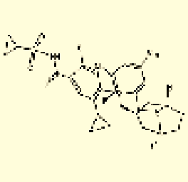 O=C(NS(=O)(=O)C1CC1)c1cc(C2CC2)c(OC[C@H]2C[C@H]3CC[C@@H](C2)N3Cc2cc(C(F)(F)F)cc(Cl)c2F)cc1F